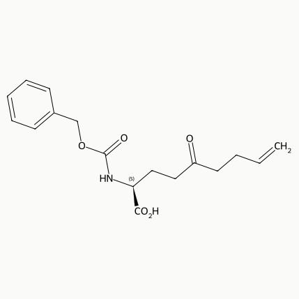 C=CCCC(=O)CC[C@H](NC(=O)OCc1ccccc1)C(=O)O